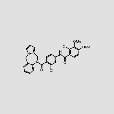 COc1ccc(C(=O)Nc2ccc(C(=O)N3Cc4cccn4Cc4ccccc43)c(Cl)c2)c(Cl)c1OC